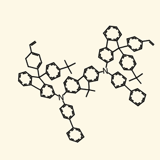 C=CC1=CC=C(C2(c3ccc(C(C)(C)C)cc3)c3ccccc3-c3ccc(N(c4ccc(-c5ccccc5)cc4)c4ccc5c(c4)C(C)(C)c4cc(N(c6ccc(-c7ccccc7)cc6)c6ccc7c(c6)C(c6ccc(C=C)cc6)(c6ccc(C(C)(C)C)cc6)c6ccccc6-7)ccc4-5)cc32)CC1